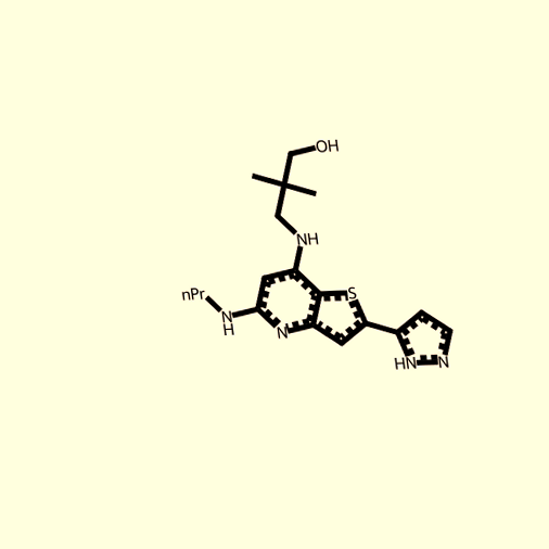 CCCNc1cc(NCC(C)(C)CO)c2sc(-c3ccn[nH]3)cc2n1